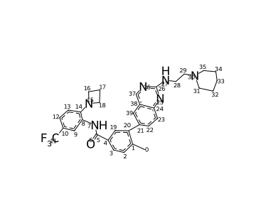 Cc1ccc(C(=O)Nc2cc(C(F)(F)F)ccc2N2CCC2)cc1-c1ccc2nc(NCCN3CCCCC3)ncc2c1